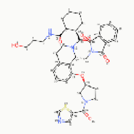 O=C(NCCCO)[C@H]1CCCC[C@H]1C(=O)N1CCc2cccc(O[C@H]3CCN(C(=O)c4cncs4)C3)c2[C@H]1CN1C(=O)c2ccccc2C1=O